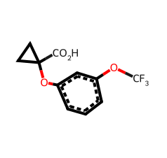 O=C(O)C1(Oc2cccc(OC(F)(F)F)c2)CC1